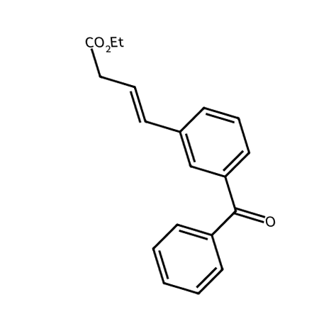 CCOC(=O)CC=Cc1cccc(C(=O)c2ccccc2)c1